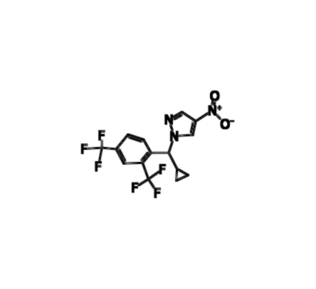 O=[N+]([O-])c1cnn(C(c2ccc(C(F)(F)F)cc2C(F)(F)F)C2CC2)c1